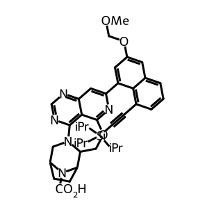 COCOc1cc(-c2cc3ncnc4c3c(n2)OCC2C3CCC(CN42)N3C(=O)O)c2c(C#C[Si](C(C)C)(C(C)C)C(C)C)cccc2c1